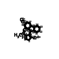 C[SiH](C)C1=CC[C]([Zr+2])=C1C1c2ccccc2-c2ccccc21.[Cl-].[Cl-]